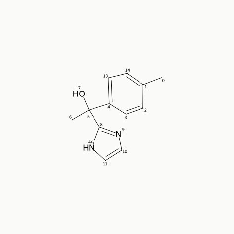 Cc1ccc(C(C)(O)c2ncc[nH]2)cc1